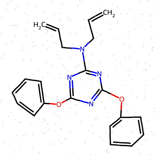 C=CCN(CC=C)c1nc(Oc2ccccc2)nc(Oc2ccccc2)n1